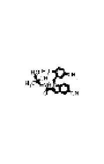 Cc1ccc(C)c(Cn2c(C(=O)NCC(C)(C)CO)cc3cc(C#N)ccc32)c1